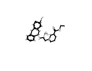 CCOC(=O)C1CCCN(C[C@@H](P)C[C@H]2Cc3cc(F)ccc3Cc3ccccc32)C1